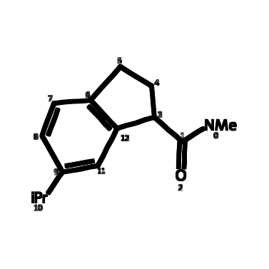 CNC(=O)C1CCc2ccc(C(C)C)cc21